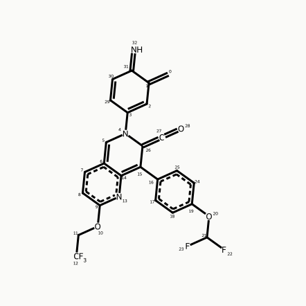 C=C1C=C(N2C=c3ccc(OCC(F)(F)F)nc3=C(c3ccc(OC(F)F)cc3)C2=C=O)C=CC1=N